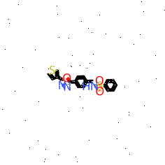 O=S(=O)(NCc1ccc(-c2nnc(-c3ccsc3)o2)cc1)c1ccccc1